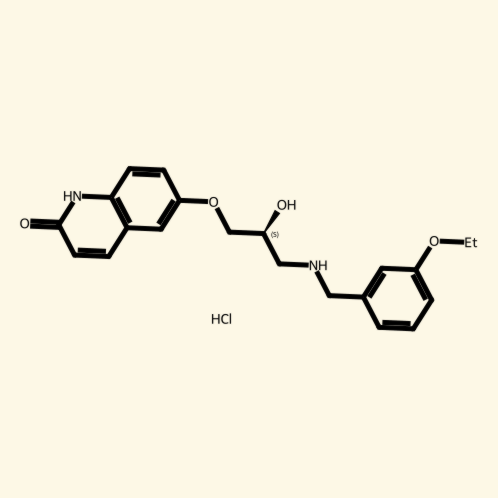 CCOc1cccc(CNC[C@H](O)COc2ccc3[nH]c(=O)ccc3c2)c1.Cl